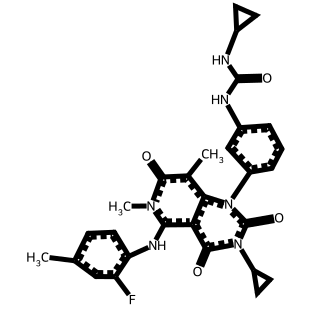 Cc1ccc(Nc2c3c(=O)n(C4CC4)c(=O)n(-c4cccc(NC(=O)NC5CC5)c4)c3c(C)c(=O)n2C)c(F)c1